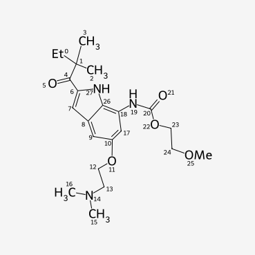 CCC(C)(C)C(=O)c1cc2cc(OCCN(C)C)cc(NC(=O)OCCOC)c2[nH]1